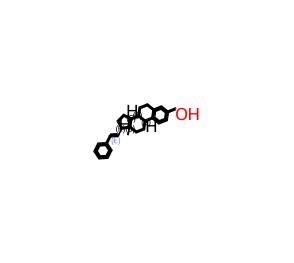 C[C@]12CC[C@@H]3c4ccc(CO)cc4CC[C@H]3[C@@H]1CC[C@@H]2/C=C/c1ccccc1